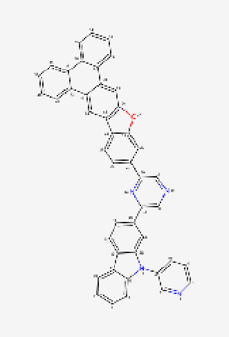 c1cncc(-n2c3ccccc3c3ccc(-c4cncc(-c5ccc6c(c5)oc5cc7c8ccccc8c8ccccc8c7cc56)n4)cc32)c1